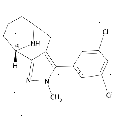 Cn1nc2c(c1-c1cc(Cl)cc(Cl)c1)CC1CCC[C@@H]2N1